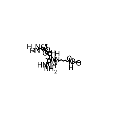 COCCONC(=O)CCCCCNC(=O)Nc1cc(NC(=N)N)cc(C)c1-c1cccc(S(=O)(=O)c2cc(C(=N)N)sc2SC)c1